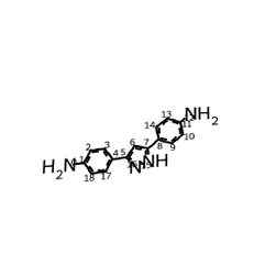 Nc1ccc(-c2cc(-c3ccc(N)cc3)[nH]n2)cc1